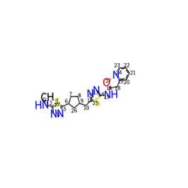 CNc1nnc(C2CCC(Cc3nnc(NC(=O)Cc4ccccn4)s3)C2)s1